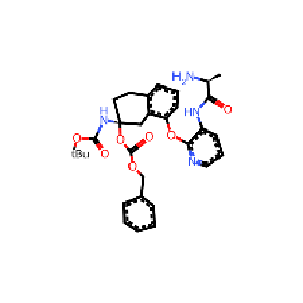 C[C@H](N)C(=O)Nc1cccnc1Oc1cccc2c1C[C@](NC(=O)OC(C)(C)C)(OC(=O)OCc1ccccc1)CC2